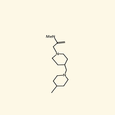 C=C(CN1CCC(CN2CCC(C)CC2)CC1)NC